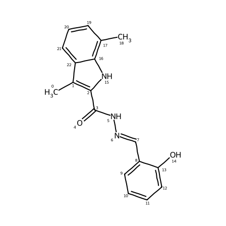 Cc1c(C(=O)N/N=C/c2ccccc2O)[nH]c2c(C)cccc12